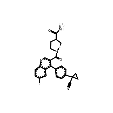 CNC(=O)C1CCN(C(=O)c2cnc3ccc(F)cc3c2-c2ccc(C3(C#N)CC3)cc2)CC1